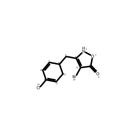 O=c1o[nH]c(CC2C=CC(Cl)=CC2)c1Br